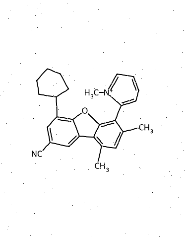 Cc1cc(C)c2c(oc3c(C4CCCCC4)cc(C#N)cc32)c1-c1cccc[n+]1C